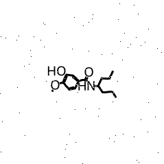 CCCC(CCC)NC(=O)c1ccc(OC)c(O)c1